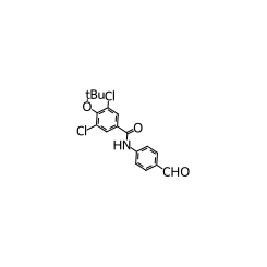 CC(C)(C)Oc1c(Cl)cc(C(=O)Nc2ccc(C=O)cc2)cc1Cl